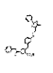 Cc1oc(-c2ccccc2)nc1CCOc1cccc(CC2=C(C(=O)O)CN(C(=O)Cc3ccccc3)C2)c1